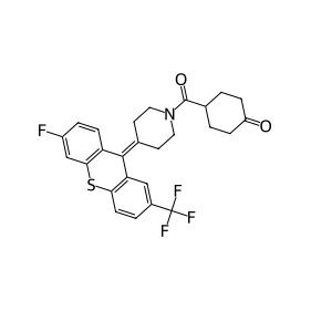 O=C1CCC(C(=O)N2CCC(=C3c4ccc(F)cc4Sc4ccc(C(F)(F)F)cc43)CC2)CC1